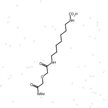 CNC(=O)COCC(=O)NCCCCCCCNC(=O)O